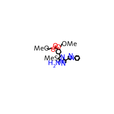 COCCOC(=O)C1(OCCOC)CCC(c2nc3c(-c4cnn(-c5ccccc5)c4)cnn3c(N)c2SC)CC1